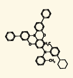 Cc1ccccc1N(c1cc2c3c(c1)Oc1cc(-c4ccccc4)ccc1B3c1ccc(-c3ccccc3)cc1O2)c1cc(C2CCCCC2)ccc1C